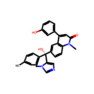 Cn1cncc1[C@@](O)(c1ccc(C#N)cc1)c1ccc2c(c1)c(-c1cccc(O)c1)cc(=O)n2C